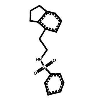 O=S(=O)(NCCc1cccc2c1CCC2)c1ccccc1